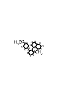 [CH2]c1cccc(-c2ccc(OC)cc2)c1-c1cccc2ccccc12